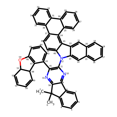 CC1(C)c2ccccc2-c2nc(-n3c4cc5ccccc5cc4c4c5c6ccccc6c6ccccc6c5ccc43)c(-c3cccc4c3C3C=CC=CC3O4)nc21